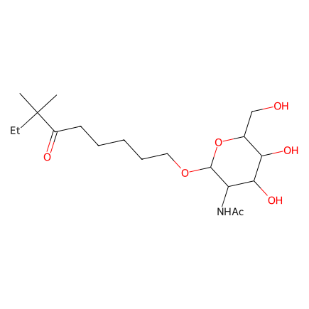 CCC(C)(C)C(=O)CCCCCOC1OC(CO)C(O)C(O)C1NC(C)=O